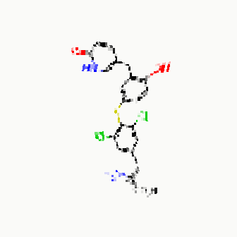 N[C@@H](Cc1cc(Cl)c(Sc2ccc(O)c(Cc3ccc(=O)[nH]c3)c2)c(Cl)c1)C(=O)O